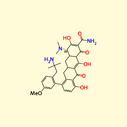 COc1ccc(CC(C)(C)N)c(-c2ccc(O)c3c2CC2CC4C(C(=O)C(C(N)=O)=C(O)[C@H]4N(C)C)C(O)=C2C3=O)c1